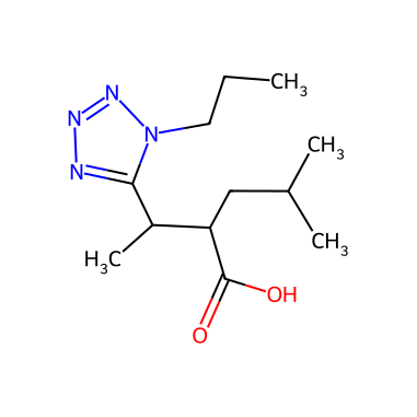 CCCn1nnnc1C(C)C(CC(C)C)C(=O)O